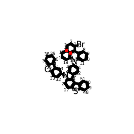 Brc1ccccc1-c1ccccc1N(c1ccccc1)c1ccc2c3c4c(ccc3n(-c3ccc5oc6ccccc6c5c3)c2c1)sc1ccccc14